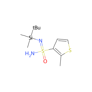 Cc1sccc1S(N)(=O)=N[Si](C)(C)C(C)(C)C